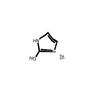 Oc1ncc[nH]1.[Zn]